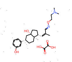 CC(C=NOCCN(C)C)=C[C@H]1CC[C@]2(O)C[C@@H](c3cccc(O)c3)CC[C@]12C.O=C(O)C(=O)O